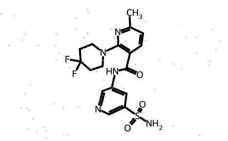 Cc1ccc(C(=O)Nc2cncc(S(N)(=O)=O)c2)c(N2CCC(F)(F)CC2)n1